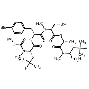 C[C@@H](OC(=O)[C@H](CC(C)(C)C)N(C)C(=O)[C@@H](Cc1ccc(C(C)(C)C)cc1)OC(=O)[C@H](CC(C)(C)F)N(C)C(=O)OC(C)(C)C)C(=O)N(C)[C@@H](CC(C)(C)F)C(=O)O